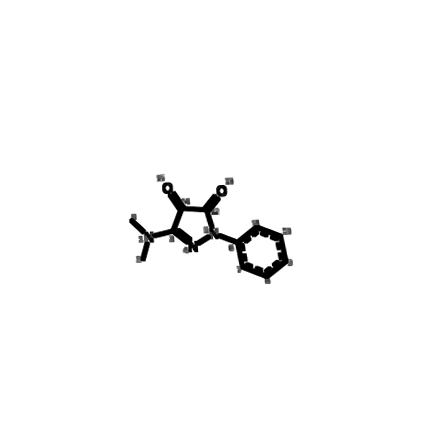 CN(C)C1=NN(c2ccccc2)C(=O)C1=O